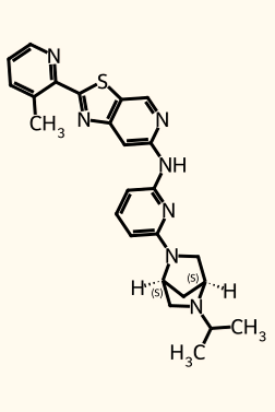 Cc1cccnc1-c1nc2cc(Nc3cccc(N4C[C@@H]5C[C@H]4CN5C(C)C)n3)ncc2s1